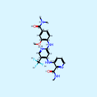 CNC(=O)c1ncccc1Nc1cc(Nc2ccc(C(=O)N(C)C)cc2OC)ncc1C(F)(F)F